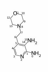 Nc1nccc(CCN2CCOCC2)c1N